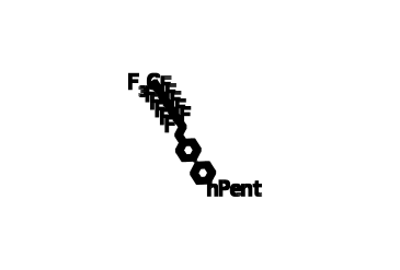 CCCCC[C@H]1CC[C@H](C2CCC(CCC(F)(F)C(F)(F)C(F)(F)C(F)(F)C(F)(F)C(F)(F)F)CC2)CC1